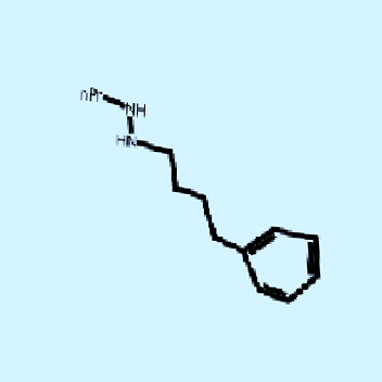 CCCNNCCCCc1ccccc1